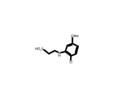 COc1ccc(Cl)c(NCCS(=O)(=O)O)c1